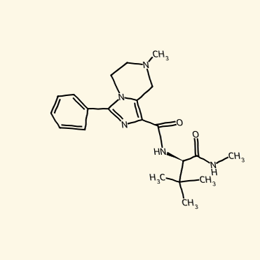 CNC(=O)[C@H](NC(=O)c1nc(-c2ccccc2)n2c1CN(C)CC2)C(C)(C)C